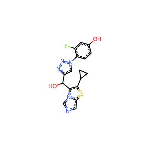 Oc1ccc(-n2cc(C(O)c3c(C4CC4)sc4cncn34)nn2)c(F)c1